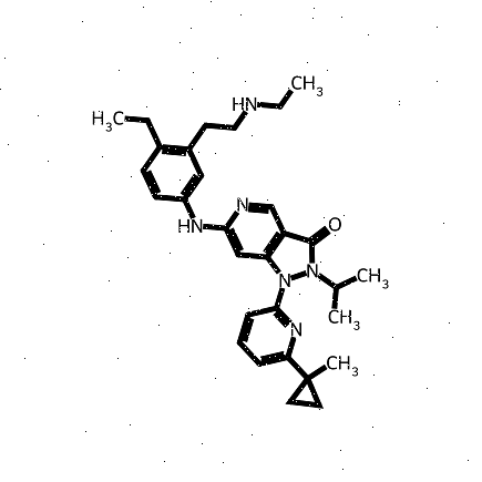 CCNCCc1cc(Nc2cc3c(cn2)c(=O)n(C(C)C)n3-c2cccc(C3(C)CC3)n2)ccc1CC